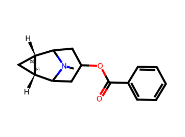 CN1C2CC(OC(=O)c3ccccc3)CC1[C@@H]1C[C@H]21